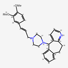 COc1ccc(C=CCN2CCN(C3c4ccccc4CCc4ncccc43)CC2)cc1OC